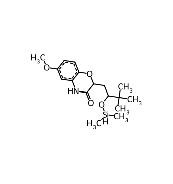 COc1ccc2c(c1)NC(=O)C(CC(O[SiH](C)C)C(C)(C)C)O2